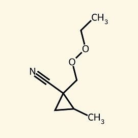 CCOOCC1(C#N)CC1C